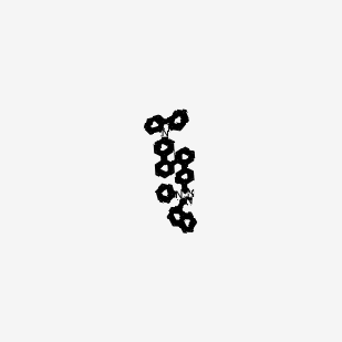 c1ccc(-n2c(-c3ccc(-c4ccccc4-c4ccccc4-c4ccc(-n5c6ccccc6c6ccccc65)cc4)cc3)nnc2-c2cccc3ccccc23)cc1